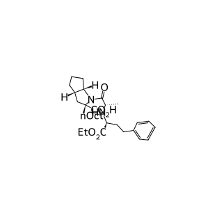 CCCCCCCC[C@@]1(C(=O)O)C[C@@H]2CCC[C@@H]2N1C(=O)[C@H](C)N[C@@H](CCc1ccccc1)C(=O)OCC